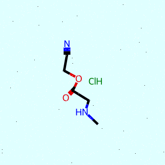 CNCC(=O)OCC#N.Cl